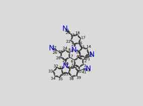 N#Cc1cccc(-c2c(-n3c4ccccc4c4ccc(C#N)cc43)cc(C#N)cc2-n2c3ccccc3c3ccc(C#N)cc32)c1